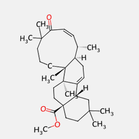 COC(=O)[C@]12CCC(C)(C)C[C@H]1C1=CC[C@@H]3[C@@H](C)/C=C\C(=O)C(C)(C)CCC[C@@]3(C)[C@]1(C)CC2